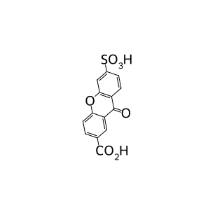 O=C(O)c1ccc2oc3cc(S(=O)(=O)O)ccc3c(=O)c2c1